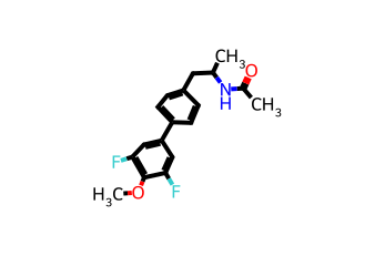 COc1c(F)cc(-c2ccc(CC(C)NC(C)=O)cc2)cc1F